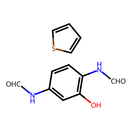 O=CNc1ccc(NC=O)c(O)c1.c1ccsc1